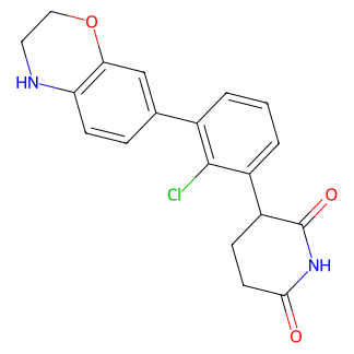 O=C1CCC(c2cccc(-c3ccc4c(c3)OCCN4)c2Cl)C(=O)N1